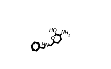 NC1CCC(CNCc2ccccc2)OC1O